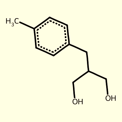 Cc1ccc(CC(CO)CO)cc1